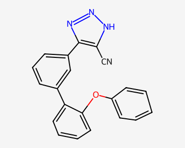 N#Cc1[nH]nnc1-c1cccc(-c2ccccc2Oc2ccccc2)c1